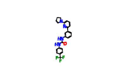 O=C(Nc1ccc(C(F)(F)F)cc1)Nc1cccc(-c2cccc(N3CCCC3)n2)c1